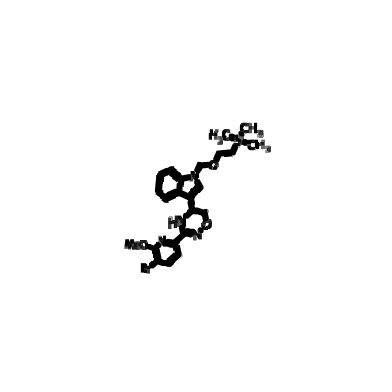 COc1nc(C2=NOCC(c3cn(COCC[Si](C)(C)C)c4ccccc34)N2)ccc1Br